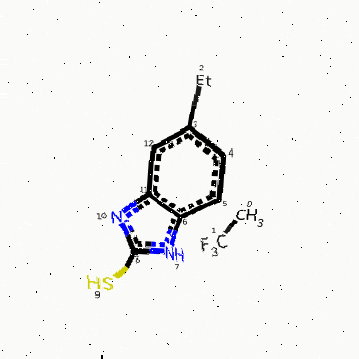 CC(F)(F)F.CCc1ccc2[nH]c(S)nc2c1